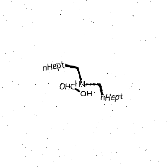 CCCCCCCCNCCCCCCCC.O=CO